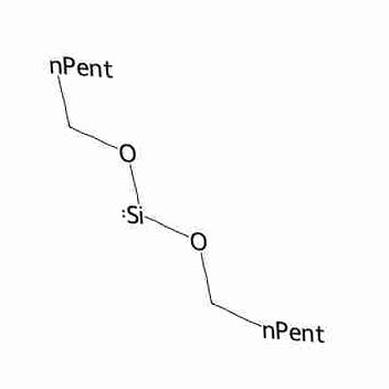 CCCCCCO[Si]OCCCCCC